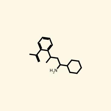 C=C(C)c1ccccc1C(C)CC(N)C1CCCCC1